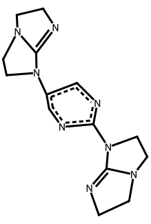 c1nc(N2CCN3CCN=C32)ncc1N1CCN2CCN=C21